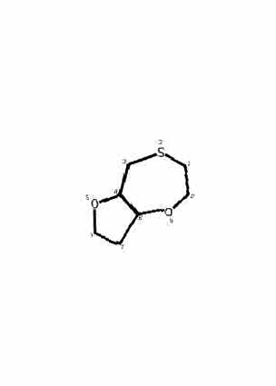 C1CSCC2OCCC2O1